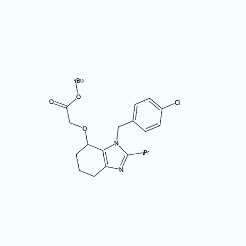 CC(C)c1nc2c(n1Cc1ccc(Cl)cc1)C(OCC(=O)OC(C)(C)C)CCC2